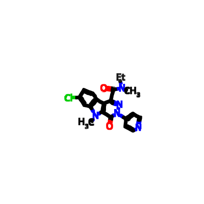 CCN(C)C(=O)c1nn(-c2ccncc2)c(=O)c2c1c1ccc(Cl)cc1n2C